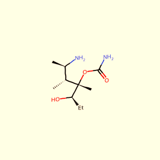 CC[C@@H](O)[C@@](C)(OC(N)=O)[C@H](C)[C@@H](C)N